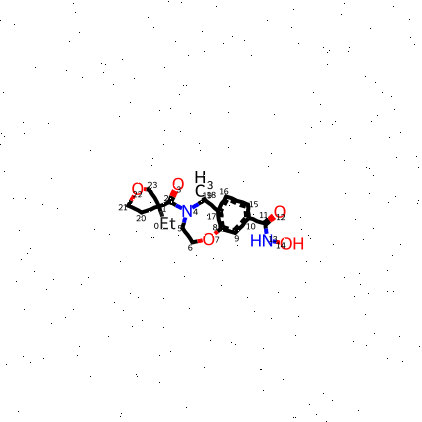 CCC1(C(=O)N2CCOc3cc(C(=O)NO)ccc3C2C)CCOC1